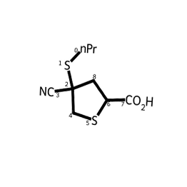 CCCSC1(C#N)CSC(C(=O)O)C1